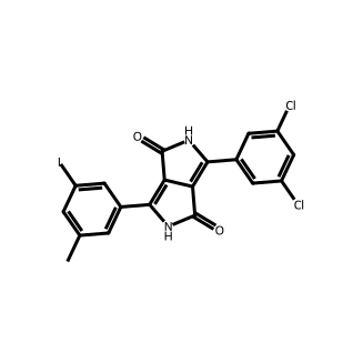 Cc1cc(I)cc(C2=C3C(=O)NC(c4cc(Cl)cc(Cl)c4)=C3C(=O)N2)c1